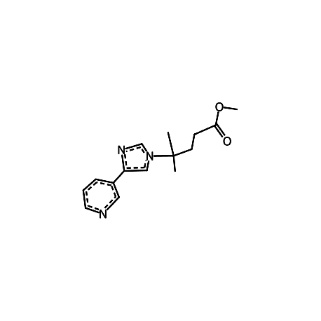 COC(=O)CCC(C)(C)n1cnc(-c2cccnc2)c1